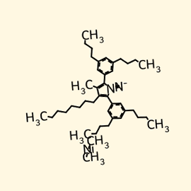 CCCCCCCCC1=C(c2cc(CCCC)cc(CCCC)c2)[N+](=[N-])C(c2cc(CCCC)cc(CCCC)c2)=C1C.[CH3][Ni][CH3]